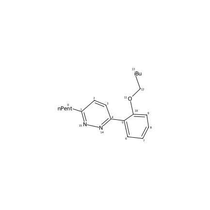 CCCCCc1ccc(-c2ccccc2OCC(C)CC)nn1